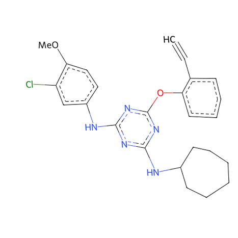 C#Cc1ccccc1Oc1nc(Nc2ccc(OC)c(Cl)c2)nc(NC2CCCCCC2)n1